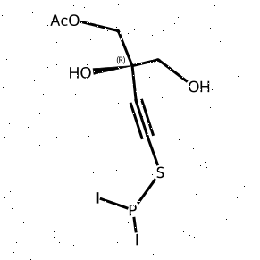 CC(=O)OC[C@@](O)(C#CSP(I)I)CO